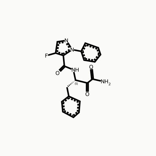 NC(=O)C(=O)[C@H](Cc1ccccc1)NC(=O)c1c(F)cnn1-c1ccccc1